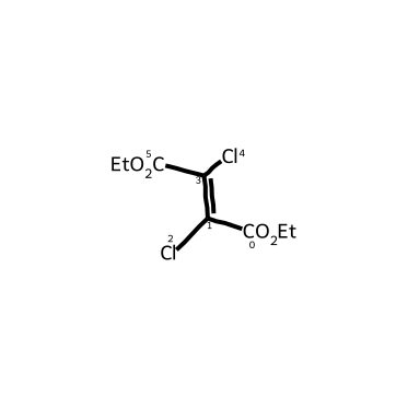 CCOC(=O)C(Cl)=C(Cl)C(=O)OCC